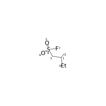 CCC(C)CS(=O)(=O)F